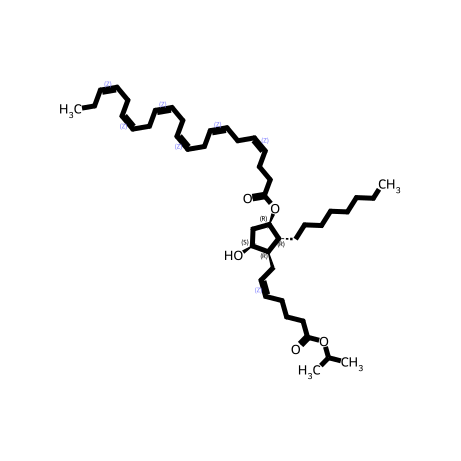 CC/C=C\C/C=C\C/C=C\C/C=C\C/C=C\C/C=C\CCC(=O)O[C@@H]1C[C@H](O)[C@H](C/C=C\CCCC(=O)OC(C)C)[C@H]1CCCCCCCC